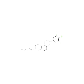 CC=CC1CCc2c(ccc3c2CCC(c2cc(F)c(F)c(F)c2)C3)C1